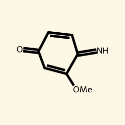 COC1=CC(=O)C=CC1=N